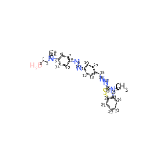 BCCN(CC)c1ccc(/N=N/c2ccc(/C=N/N=c3\sc4ccccc4n3C)cc2)cc1